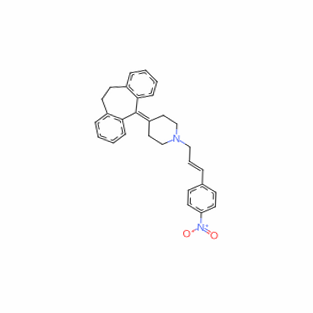 O=[N+]([O-])c1ccc(C=CCN2CCC(=C3c4ccccc4CCc4ccccc43)CC2)cc1